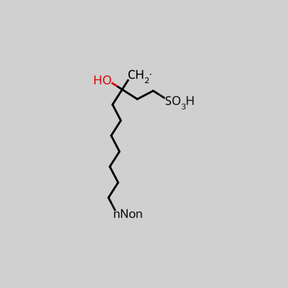 [CH2]C(O)(CCCCCCCCCCCCCCCC)CCS(=O)(=O)O